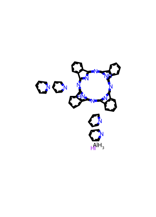 I.[AlH3].c1ccc2c(c1)-c1nc-2nc2[nH]c(nc3nc(nc4[nH]c(n1)c1ccccc41)-c1ccccc1-3)c1ccccc21.c1ccncc1.c1ccncc1.c1ccncc1.c1ccncc1